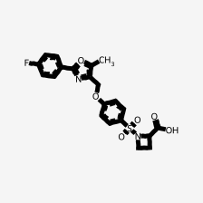 Cc1oc(-c2ccc(F)cc2)nc1COc1ccc(S(=O)(=O)N2CCC2C(=O)O)cc1